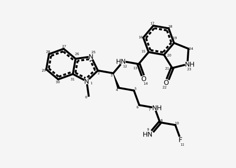 Cn1c([C@H](CCCNC(=N)CF)NC(=O)c2cccc3c2C(=O)NC3)nc2ccccc21